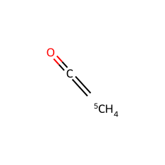 C=C=O.[5CH4]